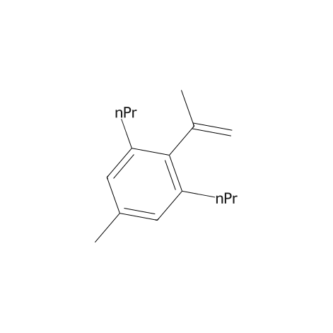 C=C(C)c1c(CCC)cc(C)cc1CCC